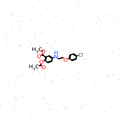 COC(=O)c1cc(NCCOc2ccc(Cl)cc2)ccc1OC(C)=O